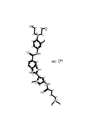 Cc1cc(NC(=O)c2ccc3[nH]c(-c4cc(NC(=O)CCCN(C)C)cn4C)nc3c2)ccc1N(CCCl)CCCl.Cl.Cl